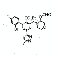 CCOC(=O)C1=C(CN2CCOCC2OC=O)NC(c2nnc(C)s2)=NC1c1ccc(F)cc1Br